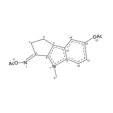 CC(=O)ON=C1CCc2c1n(C)c1ccc(OC(C)=O)cc21